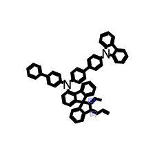 C=C/C=C1\C(=C/C)C2(c3ccccc31)c1ccccc1-c1c(N(c3ccc(-c4ccccc4)cc3)c3ccc(-c4ccc(-n5c6ccccc6c6ccccc65)cc4)cc3)cccc12